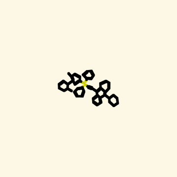 Cc1ccc(S(C#Cc2c3ccccc3c(C3CCCCC3)c3ccccc23)(c2ccccc2)c2ccccc2)cc1C1C=CCCC1C